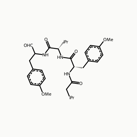 COc1ccc(CC(C=O)NC(=O)[C@@H](NC(=O)[C@H](Cc2ccc(OC)cc2)NC(=O)CC(C)C)C(C)C)cc1